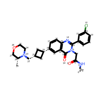 CC(C)NC(=O)Cn1c(-c2cccc(Cl)c2)nc2ccc([C@H]3C[C@@H](CN4CCOC[C@H]4C)C3)cc2c1=O